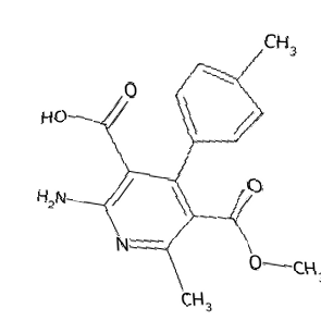 COC(=O)c1c(C)nc(N)c(C(=O)O)c1-c1ccc(C)cc1